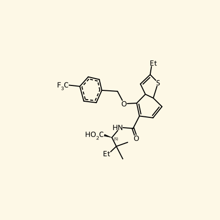 CCC1=CC2C(OCc3ccc(C(F)(F)F)cc3)=C(C(=O)N[C@H](C(=O)O)C(C)(C)CC)C=CC2S1